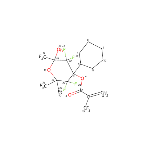 C=C(C(=O)OC1(C2CCCCC2)C(F)(F)C(O)(C(F)(F)F)OC(CC)(C(F)(F)F)C1(F)F)C(F)(F)F